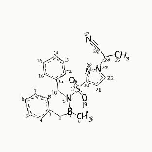 CB(Cc1ccccc1)N(Cc1ccccc1)S(=O)(=O)c1ccn(C(C)C#N)n1